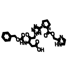 O=C(O)CC(NC(=O)OCc1ccccc1)C(=O)Cn1nnc(N2CCC[C@H]2C(=O)OCc2ncc[nH]2)n1